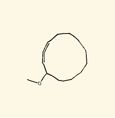 COC1C=C=CCCCCCCCC1